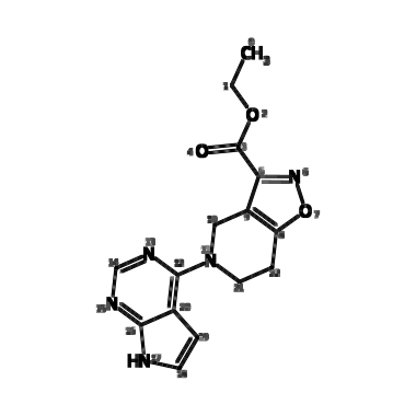 CCOC(=O)c1noc2c1CN(c1ncnc3[nH]ccc13)CC2